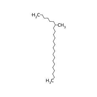 [CH2]CCCCCC(C)CCCCCCCCCCCCCCCCC